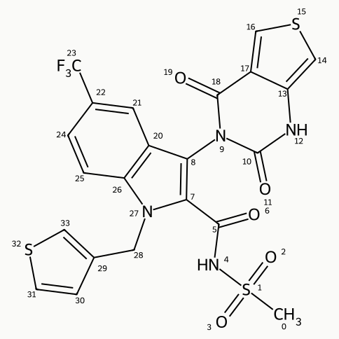 CS(=O)(=O)NC(=O)c1c(-n2c(=O)[nH]c3cscc3c2=O)c2cc(C(F)(F)F)ccc2n1Cc1ccsc1